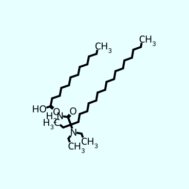 CCCCCCCCCCCC(=O)O.CCCCCCCCCCCCCCCCC(CC)(C(N)=O)N(CC)CC